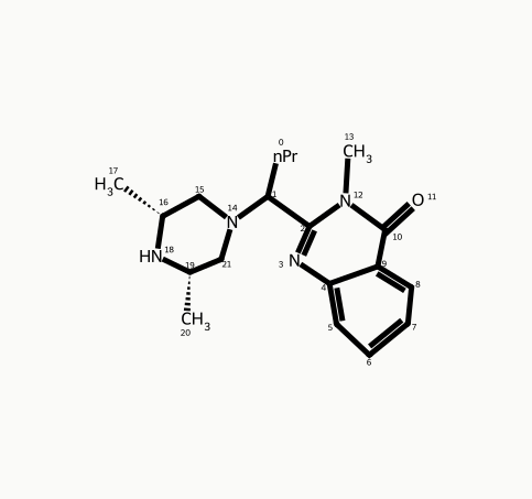 CCCC(c1nc2ccccc2c(=O)n1C)N1C[C@@H](C)N[C@@H](C)C1